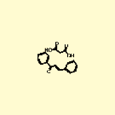 O=C(C=Cc1ccccc1)c1ccccc1.O=C(O)CC(=O)O